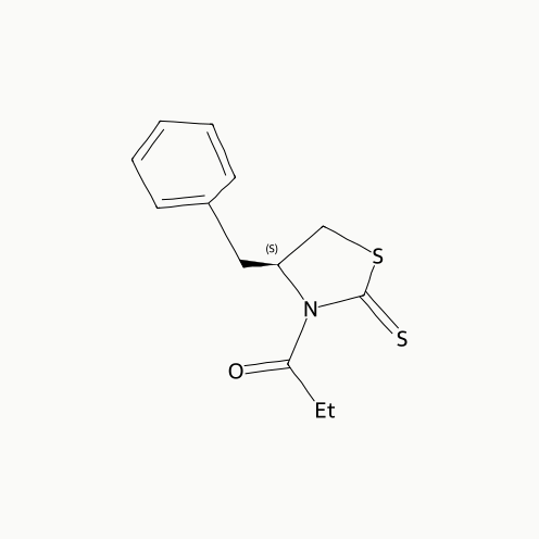 CCC(=O)N1C(=S)SC[C@@H]1Cc1ccccc1